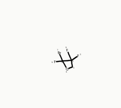 FC1(F)COC1(F)Br